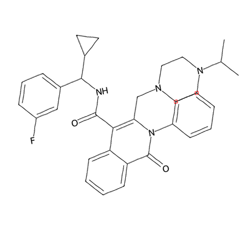 CC(C)N1CCN(Cc2c(C(=O)NC(c3cccc(F)c3)C3CC3)c3ccccc3c(=O)n2-c2ccccc2)CC1